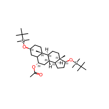 CC(=O)O[C@H]1C[C@H]2[C@@H]3CC[C@H](O[Si](C)(C)C(C)(C)C)[C@@]3(C)CC[C@@H]2[C@@]2(C)CC[C@H](O[Si](C)(C)C(C)(C)C)CC12